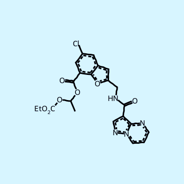 CCOC(=O)OC(C)OC(=O)c1cc(Cl)cc2cc(CNC(=O)c3cnn4cccnc34)oc12